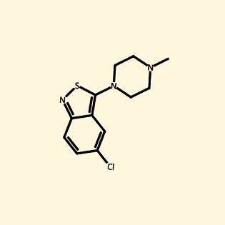 CN1CCN(c2snc3ccc(Cl)cc23)CC1